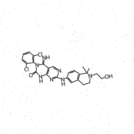 CC1(C)c2ccc(Nc3ncc4c(=N)n(-c5c(Cl)cccc5Cl)c(=O)[nH]c4n3)cc2CCN1CCO